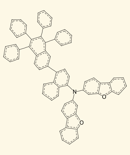 c1ccc(-c2c(-c3ccccc3)c(-c3ccccc3)c3cc(-c4ccc(N(c5ccc6c(c5)oc5ccccc56)c5ccc6c(c5)oc5ccccc56)c5ccccc45)ccc3c2-c2ccccc2)cc1